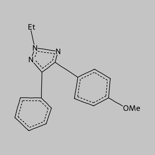 CCn1nc(-c2ccccc2)c(-c2ccc(OC)cc2)n1